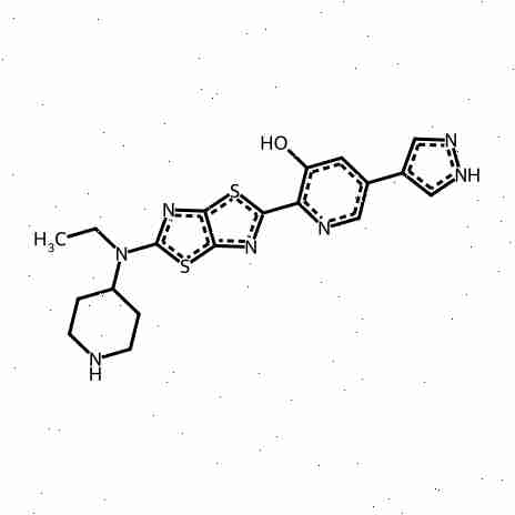 CCN(c1nc2sc(-c3ncc(-c4cn[nH]c4)cc3O)nc2s1)C1CCNCC1